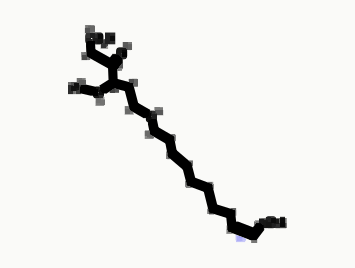 CCCCCCCC/C=C\CCCCCCCCOCCC(OC(C)C)C(=O)CC(=O)O